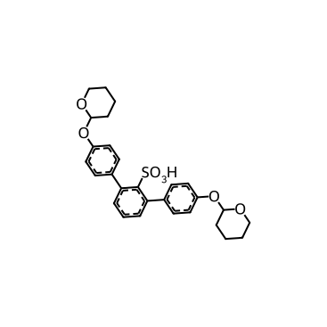 O=S(=O)(O)c1c(-c2ccc(OC3CCCCO3)cc2)cccc1-c1ccc(OC2CCCCO2)cc1